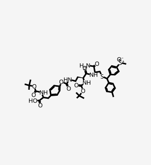 Cc1ccc(C(SCC(NC(=O)[C@H](CCNC(=O)Oc2ccc(CC(NC(=O)OC(C)(C)C)C(=O)O)cc2)NC(=O)OC(C)(C)C)C(N)=O)c2ccc([S+](C)[O-])cc2)cc1